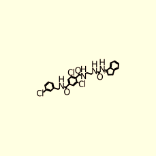 O=C(NCCNC(=O)c1c(Cl)cc(C(=O)NCc2cccc(Cl)c2)cc1Cl)N[C@@H]1CCc2ccccc21